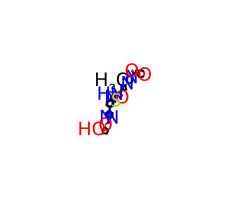 C[C@H]1CN(C(=O)C2CCOCC2)CCN1[C@H]1C[C@@H](C(=O)Nc2nc3ccc(-c4cnc(CO[C@H]5CCC[C@@H]5O)nc4)cc3s2)C1